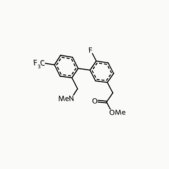 CNCc1cc(C(F)(F)F)ccc1-c1cc(CC(=O)OC)ccc1F